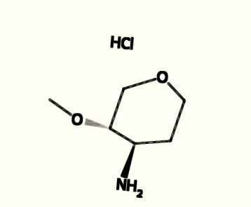 CO[C@@H]1COCC[C@H]1N.Cl